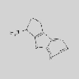 BC1CCc2c1sc1ncccc21